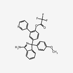 COc1ccc(C2(c3ccc(OC(=O)C(F)(F)F)c(-c4cccnc4)c3)N=C(N)c3ccccc32)cc1